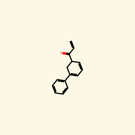 C=CC(=O)C1C=CC=C(c2ccccc2)C1